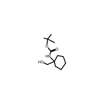 CC(C)(C)OC(=O)NC1(CO)CCCCC1